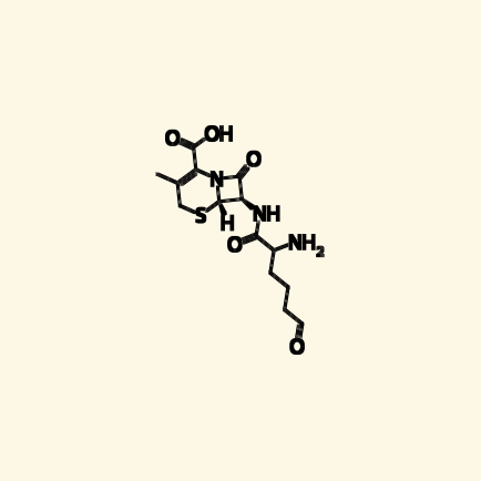 CC1=C(C(=O)O)N2C(=O)[C@@H](NC(=O)C(N)CCCC=O)[C@@H]2SC1